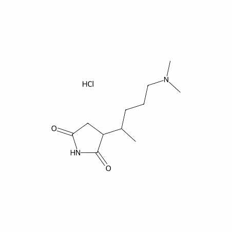 CC(CCCN(C)C)C1CC(=O)NC1=O.Cl